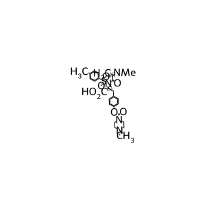 CN[C@@H](C)C(=O)N([C@@H](Cc1ccc(OC(=O)N2CCN(C)CC2)cc1)C(=O)O)S(=O)(=O)c1ccc(C)cc1